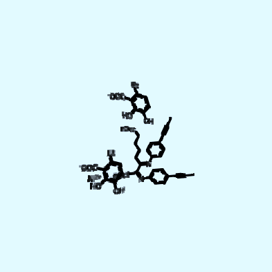 CC#Cc1ccc(N=C(CCCCCCCC)C(CCCCCCCCCCCCCC)=Nc2ccc(C#CC)cc2)cc1.CCc1ccc(O)c(O)c1C(=O)[O-].CCc1ccc(O)c(O)c1C(=O)[O-].[Ni+2]